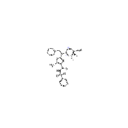 C=C(C#N)/C=C\C(=C/C)N(Cc1ccccc1)c1nc(C(=O)NS(=O)(=O)c2cccnc2)c(C)s1